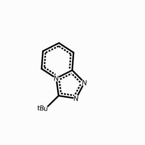 CC(C)(C)c1nnc2ccccn12